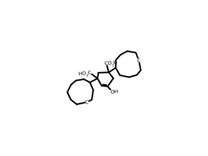 O=C(O)C1(C2CCCCCCCCC2)C=C(O)CC(C(=O)O)(C2CCCCCCCCC2)C1